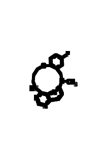 CN1Cc2cc(F)ccc2OCCCNc2ncnc3ccc1nc23